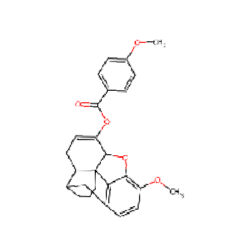 COc1ccc(C(=O)OC2=CCC3C4CCCC35c3c(ccc(OC)c3OC25)C4)cc1